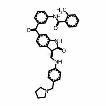 Cc1ccccc1C(=O)Nc1cccc(C(=O)c2ccc3c(c2)NC(=O)/C3=C\Nc2ccc(CN3CCCC3)cc2)c1